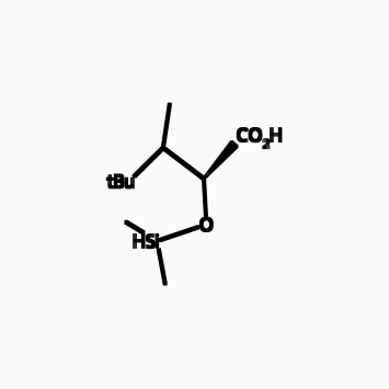 CC([C@H](O[SiH](C)C)C(=O)O)C(C)(C)C